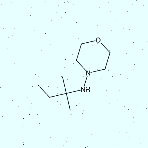 CCC(C)(C)NN1CCOCC1